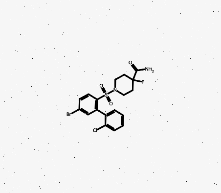 NC(=O)C1(F)CCN(S(=O)(=O)c2ccc(Br)cc2-c2ccccc2Cl)CC1